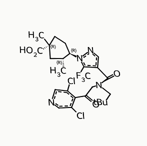 C[C@@H]1C[C@](C)(C(=O)O)CC[C@H]1n1ncc(C(=O)N(CC(=O)c2c(Cl)cncc2Cl)CC(C)(C)C)c1C(F)(F)F